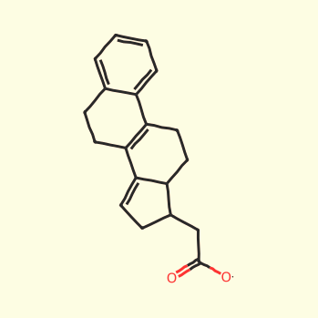 [O]C(=O)CC1CC=C2C3=C(CCC21)c1ccccc1CC3